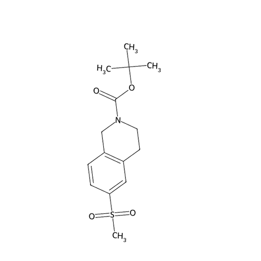 CC(C)(C)OC(=O)N1CCc2cc(S(C)(=O)=O)ccc2C1